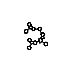 c1ccc(-c2nc(-c3ccc4c(c3)c3ccccc3n4-c3ccccc3)nc3c2sc2ccc(-c4cccc(-c5ccc6c(c5)c5ccccc5n6-c5ccccc5)c4)cc23)cc1